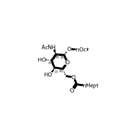 CCCCCCCCO[C@@H]1O[C@H](COC(=O)CCCCCCC)[C@@H](O)[C@H](O)[C@H]1NC(C)=O